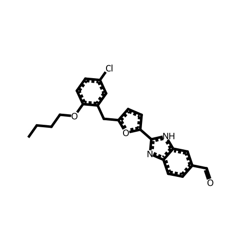 CCCCOc1ccc(Cl)cc1Cc1ccc(-c2nc3ccc(C=O)cc3[nH]2)o1